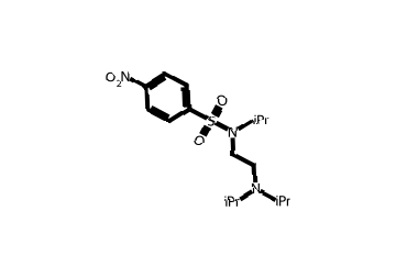 CC(C)N(CCN(C(C)C)S(=O)(=O)c1ccc([N+](=O)[O-])cc1)C(C)C